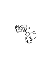 C/C1=N/c2c(F)cc(B3OC(C)(C)C(C)(C)O3)cc2CCCCCC1